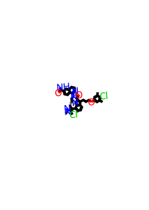 Cc1cc(OCCCc2c3n(c4c(-c5c(C)nn(C)c5C)c(Cl)ccc24)[C@H](C)CN(c2nccc4cc(C(N)=O)ccc24)C3=O)cc(C)c1Cl